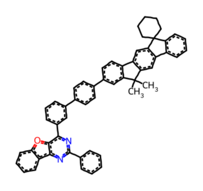 CC1(C)c2cc(-c3ccc(-c4cccc(-c5nc(-c6ccccc6)nc6c5oc5ccccc56)c4)cc3)ccc2-c2cc3c(cc21)-c1ccccc1C31CCCCC1